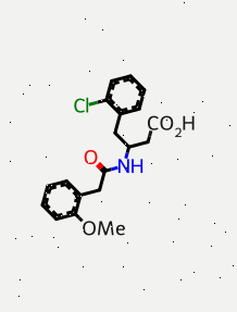 COc1ccccc1CC(=O)NC(CC(=O)O)Cc1ccccc1Cl